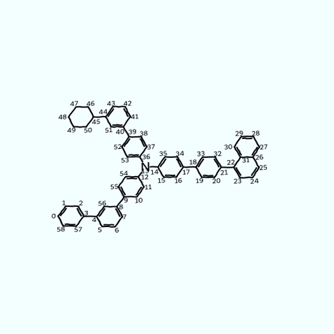 c1ccc(-c2cccc(-c3ccc(N(c4ccc(-c5ccc(-c6cccc7ccccc67)cc5)cc4)c4ccc(-c5cccc(C6CCCCC6)c5)cc4)cc3)c2)cc1